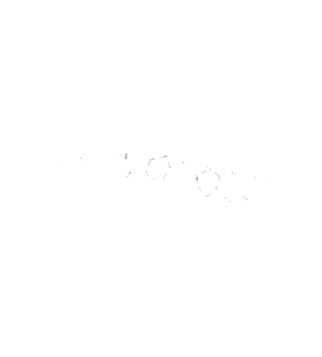 C=C1[C@@H](C)N(C2CCCC2)c2nc(N3CCc4cc(C(=O)NC5CCN(C)CC5)ccc43)ccc2N1C